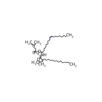 CCCCCCCC/C=C\CCCCCCCC(=O)N[C@@H](COC(=O)CCN(CC)CC)[C@@H]1OC(C)(C)C[C@@H]1CCCCCCCCCCCCCC